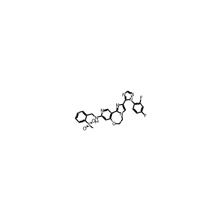 CS(=O)(=O)c1ccccc1CNc1cc2c(cn1)-c1nc(-c3ncnn3-c3ccc(F)cc3F)cn1CCO2